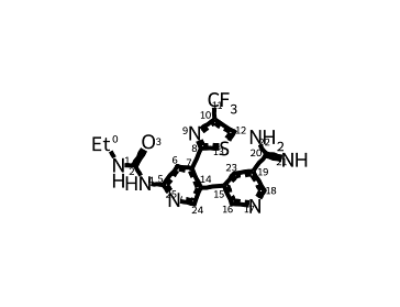 CCNC(=O)Nc1cc(-c2nc(C(F)(F)F)cs2)c(-c2cncc(C(=N)N)c2)cn1